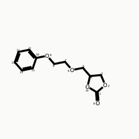 O=C1OCC(COCCOc2ccccc2)O1